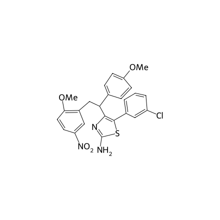 COc1ccc(C(Cc2cc([N+](=O)[O-])ccc2OC)c2nc(N)sc2-c2cccc(Cl)c2)cc1